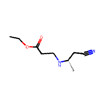 CCOC(=O)CCN[C@@H](C)CC#N